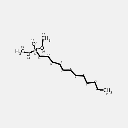 CCCCCCCCCCCC[N+]([O-])(OC)OC